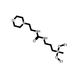 CCO[Si](C)(CCCNC(=O)NCCN1CCOCC1)OCC